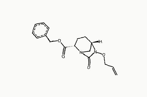 C=CCON1C(=O)N2C[C@@H]1CC[C@H]2C(=O)OCc1ccccc1